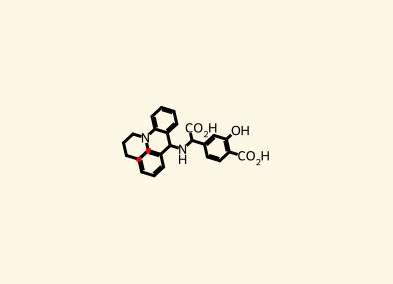 O=C(O)c1ccc(C(NC(c2ccccc2)c2ccccc2N2CCCCC2)C(=O)O)cc1O